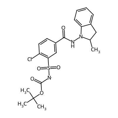 CC1Cc2ccccc2N1NC(=O)c1ccc(Cl)c(S(=O)(=O)[N]C(=O)OC(C)(C)C)c1